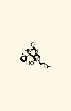 COCCN1CC2=NC(=O)N[C@@H](c3cccs3)C2=C1O